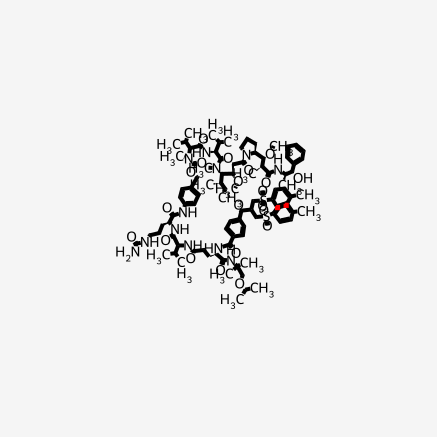 CC[C@H](C)[C@@H]([C@@H](CC(=O)N1CCC[C@H]1[C@H](OC)[C@@H](C)C(=O)N[C@H](C)[C@@H](O)c1ccccc1)OC)N(C)C(=O)[C@@H](NC(=O)C(C(C)C)N(C)C(=O)OCc1ccc(NC(=O)[C@H](CCCNC(N)=O)NC(=O)C(NC(=O)CC[C@H](NC(=O)c2ccc(C(=O)C(CS(=O)(=O)c3ccc(C)cc3)CS(=O)(=O)c3ccc(C)cc3)cc2)C(=O)NC(C)(C)COC(C)C)C(C)C)cc1)C(C)C